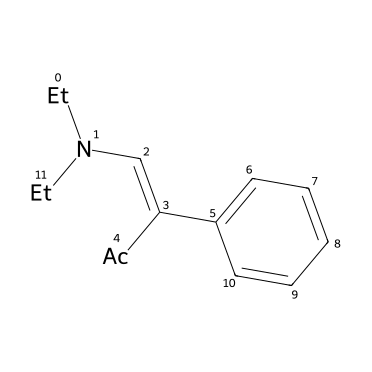 CCN(/C=C(\C(C)=O)c1ccccc1)CC